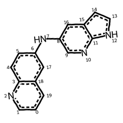 c1cnc2ccc(Nc3cnc4[nH]ccc4c3)cc2c1